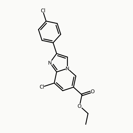 CCOC(=O)c1cc(Cl)c2nc(-c3ccc(Cl)cc3)cn2c1